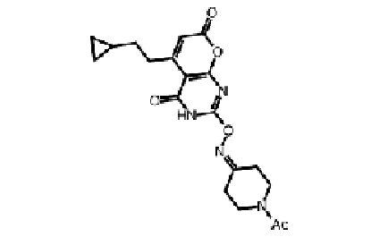 CC(=O)N1CCC(=NOc2nc3oc(=O)cc(CCC4CC4)c3c(=O)[nH]2)CC1